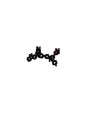 Cc1ccc(-c2cc(-c3ccncc3)cc(-c3ccc(-c4ccc5c(c4)c4cnccc4n5-c4ccc5c(c4)C(C)(C)c4ccccc4-5)cc3)n2)cc1